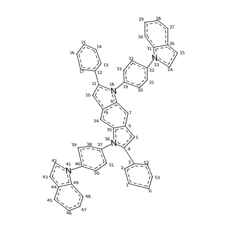 c1ccc(-c2cc3cc4c(cc(-c5ccccc5)n4-c4ccc(-n5ccc6ccccc65)cc4)cc3n2-c2ccc(-n3ccc4ccccc43)cc2)cc1